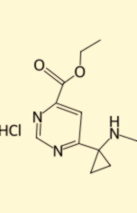 CCOC(=O)c1cc(C2(NC)CC2)ncn1.Cl